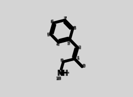 CC(=Cc1ccccc1)C[NH]